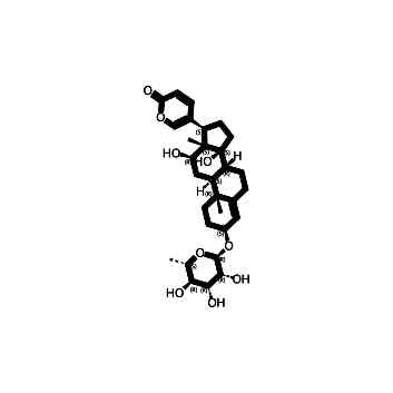 C[C@@H]1O[C@@H](O[C@@H]2C=C3CC[C@@H]4[C@H](C[C@@H](O)[C@]5(C)[C@@H](c6ccc(=O)oc6)CC[C@]45O)[C@@]3(C)CC2)[C@H](O)[C@H](O)[C@H]1O